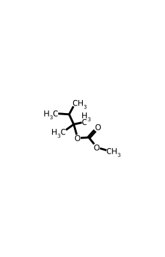 COC(=O)OC(C)(C)C(C)C